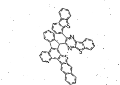 c1ccc2c(c1)-c1c(c3sc4cc5ccccc5cc4c3c3ccccc13)C2c1nc2sc3ccccc3c2nc1-c1cccc2c1sc1ccccc12